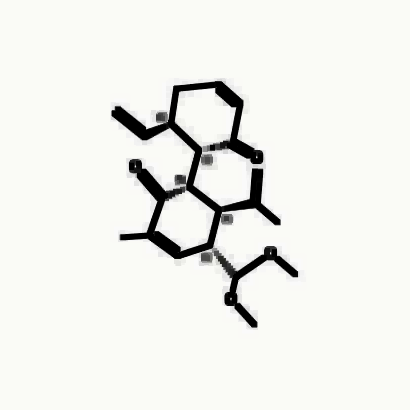 C=C[C@H]1CC=CC(=O)[C@@H]1[C@H]1C(=O)C(C)=C[C@@H](C(OC)OC)[C@@H]1C(=C)C